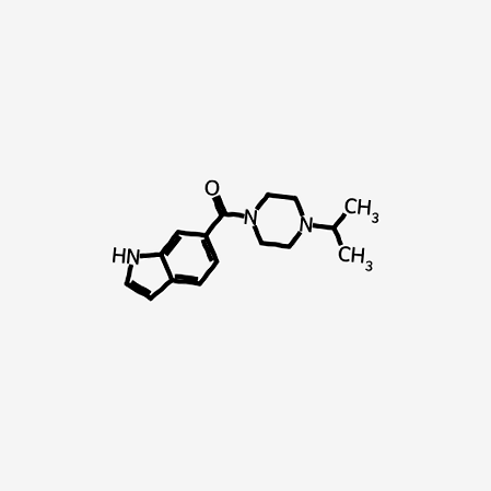 CC(C)N1CCN(C(=O)c2ccc3cc[nH]c3c2)CC1